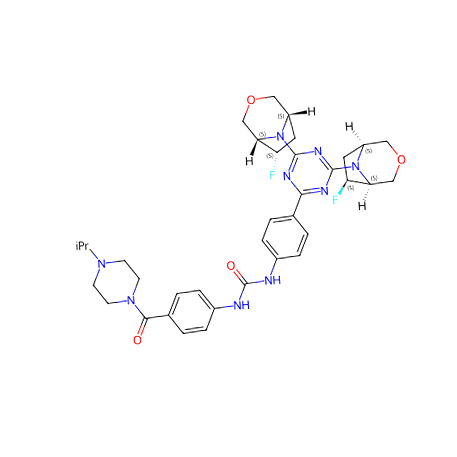 CC(C)N1CCN(C(=O)c2ccc(NC(=O)Nc3ccc(-c4nc(N5[C@@H]6COC[C@H]5[C@@H](F)C6)nc(N5[C@@H]6COC[C@H]5[C@@H](F)C6)n4)cc3)cc2)CC1